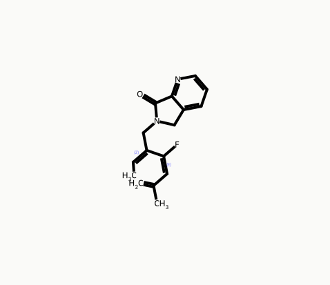 C=C(C)/C=C(F)\C(=C/C)CN1Cc2cccnc2C1=O